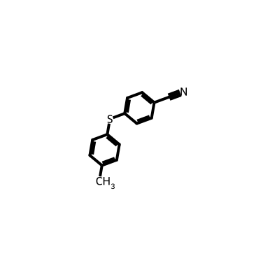 Cc1ccc(Sc2ccc(C#N)cc2)cc1